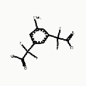 COc1cc(C(F)(F)C(=O)Cl)cc(C(F)(F)C(=O)Cl)c1